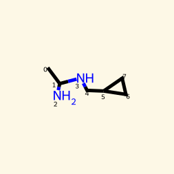 CC(N)NCC1CC1